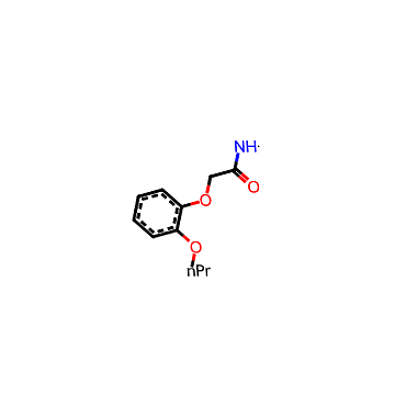 CCCOc1ccccc1OCC([NH])=O